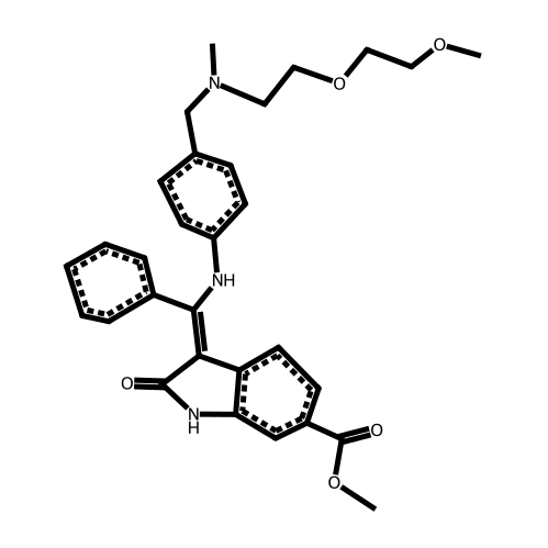 COCCOCCN(C)Cc1ccc(NC(=C2C(=O)Nc3cc(C(=O)OC)ccc32)c2ccccc2)cc1